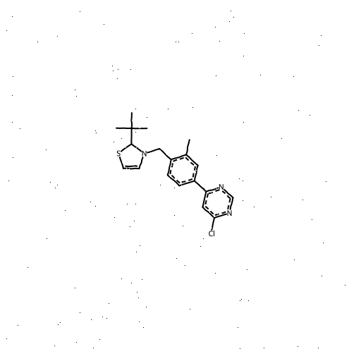 Cc1cc(-c2cc(Cl)ncn2)ccc1CN1C=CSC1C(C)(C)C